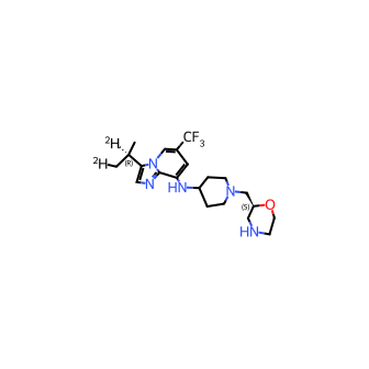 [2H]C[C@@]([2H])(C)c1cnc2c(NC3CCN(C[C@@H]4CNCCO4)CC3)cc(C(F)(F)F)cn12